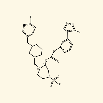 CC(C)S(=O)(=O)N1CC[C@@H](CN2CCCC(Cc3ccc(F)cc3)C2)[C@@H](NC(=O)Nc2cccc(-c3nnnn3C)c2)C1